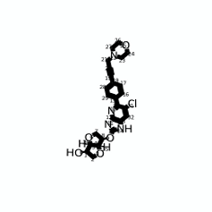 O[C@@H]1CO[C@H]2[C@@H]1OC[C@H]2Oc1nc2nc(-c3ccc(C#CCN4CCOCC4)cc3)c(Cl)cc2[nH]1